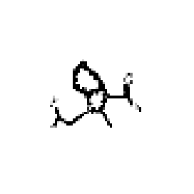 Cc1c(C(=O)C(C)C)c2ccccc2n1CC(F)F